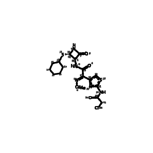 CON=C(C(=O)N[C@@H]1C(=O)N[C@H]1SC1CCCCC1)c1csc(NC(=O)CCl)n1